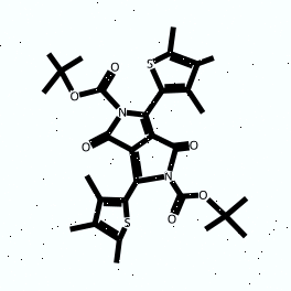 Cc1sc(C2=C3C(=O)N(C(=O)OC(C)(C)C)C(c4sc(C)c(C)c4C)=C3C(=O)N2C(=O)OC(C)(C)C)c(C)c1C